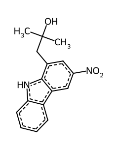 CC(C)(O)Cc1cc([N+](=O)[O-])cc2c1[nH]c1ccccc12